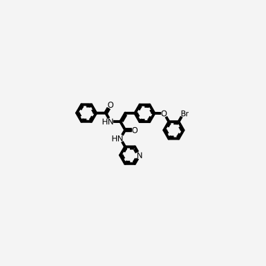 O=C(Nc1cccnc1)/C(=C\c1ccc(Oc2ccccc2Br)cc1)NC(=O)c1ccccc1